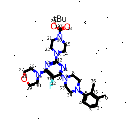 Cc1cccc(N2CCN(c3nc(N4CCN(C(=O)OC(C)(C)C)CC4)nc(N4CCOCC4)c3F)CC2)c1C